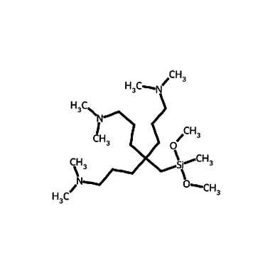 CO[Si](C)(CC(CCCN(C)C)(CCCN(C)C)CCCN(C)C)OC